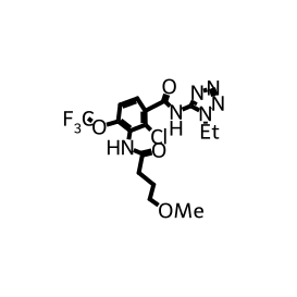 CCn1nnnc1NC(=O)c1ccc(OC(F)(F)F)c(NC(=O)CCCOC)c1Cl